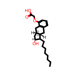 CCCCCCCCC1[C@H](O)C[C@@H]2Cc3c(cccc3OCC(=O)O)C[C@H]12